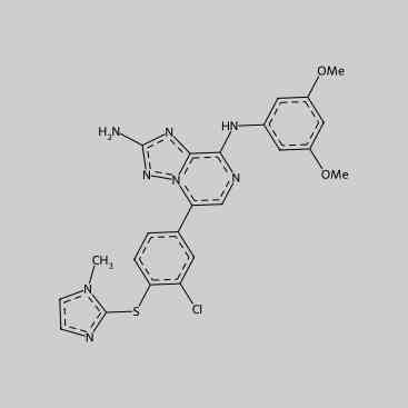 COc1cc(Nc2ncc(-c3ccc(Sc4nccn4C)c(Cl)c3)n3nc(N)nc23)cc(OC)c1